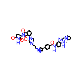 C[C@H]1CCCN1Cc1nc2cc(NC(=O)c3ccc(-c4cnn(CCCN5CCN(c6cccc7c6C(=O)N(C6CCC(=O)NC6=O)C7=O)CC5)c4)cc3)ccc2[nH]1